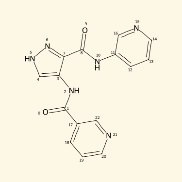 O=C(Nc1c[nH]nc1C(=O)Nc1cccnc1)c1cccnc1